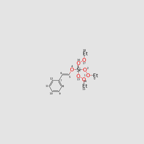 CCOO[Si](OC=Cc1ccccc1)(OOCC)OOCC